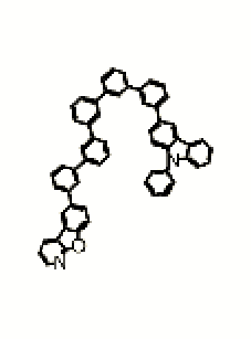 c1ccc(-n2c3ccccc3c3cc(-c4cccc(-c5cccc(-c6cccc(-c7cccc(-c8cccc(-c9ccc%10oc%11ncccc%11c%10c9)c8)c7)c6)c5)c4)ccc32)cc1